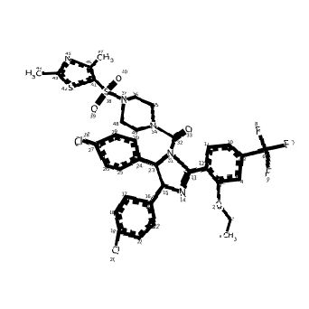 CCOc1cc(C(F)(F)F)ccc1C1=NC(c2ccc(Cl)cc2)C(c2ccc(Cl)cc2)N1C(=O)N1CCN(S(=O)(=O)c2sc(C)nc2C)CC1